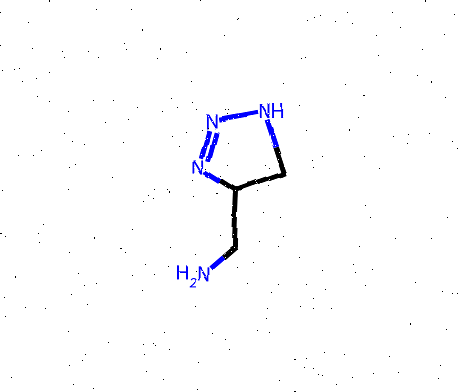 NCC1CNN=N1